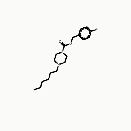 [CH2]CCCCCN1CCN(C(=O)OCc2ccc(F)cc2)CC1